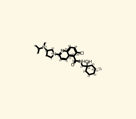 CC(C)N(C)C1CCN(c2ccc3c(C(=O)NC[C@@]4(O)CCC[C@@H](C)C4)c(Cl)ccc3n2)C1